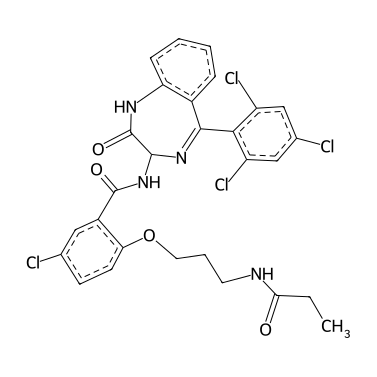 CCC(=O)NCCCOc1ccc(Cl)cc1C(=O)NC1N=C(c2c(Cl)cc(Cl)cc2Cl)c2ccccc2NC1=O